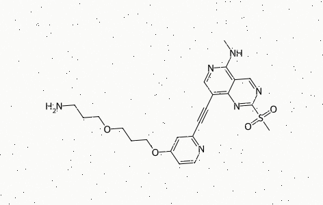 CNc1ncc(C#Cc2cc(OCCCOCCCN)ccn2)c2nc(S(C)(=O)=O)ncc12